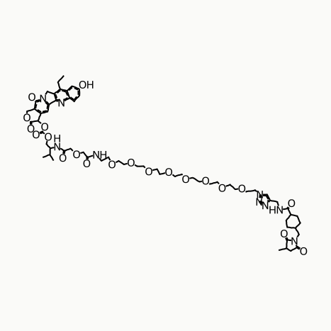 CCc1c2c(nc3ccc(O)cc13)-c1cc3c(c(=O)n1C2)COC(=O)C3OC(=O)OCC(NC(=O)COCC(=O)NCCOCCOCCOCCOCCOCCOCCOCCOCCn1cc(CNC(=O)C2CCC(CN3C(=O)CC(C)C3=O)CC2)nn1)C(C)C